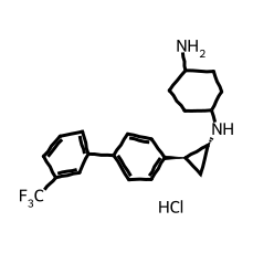 Cl.NC1CCC(N[C@@H]2C[C@H]2c2ccc(-c3cccc(C(F)(F)F)c3)cc2)CC1